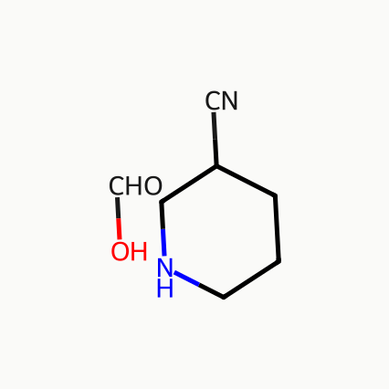 N#CC1CCCNC1.O=CO